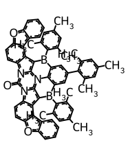 Cc1cc(C)c(B2c3cc(-c4c(C)cc(C)cc4C)cc4c3-n3c5c2c2c6c(ccc2n5c(=O)n2c5ccc7oc8ccccc8c7c5c(c32)B4c2c(C)cc(C)cc2C)oc2ccccc26)c(C)c1